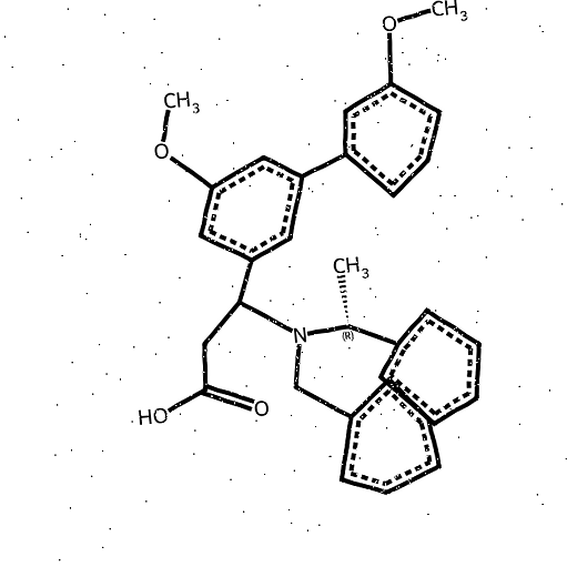 COc1cccc(-c2cc(OC)cc(C(CC(=O)O)N(Cc3ccccc3)[C@H](C)c3ccccc3)c2)c1